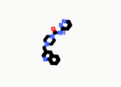 O=C(Nc1cccnn1)N1CCN(Cc2cnc3ccccc3c2)CC1